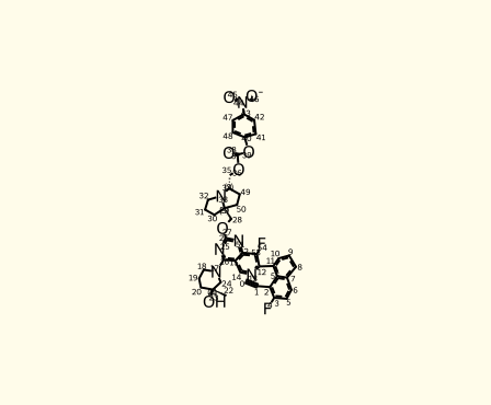 C#Cc1c(F)ccc2cccc(-c3ncc4c(N5CCC[C@@](C)(O)C5)nc(OC[C@@]56CCCN5[C@H](COC(=O)Oc5ccc([N+](=O)[O-])cc5)CC6)nc4c3F)c12